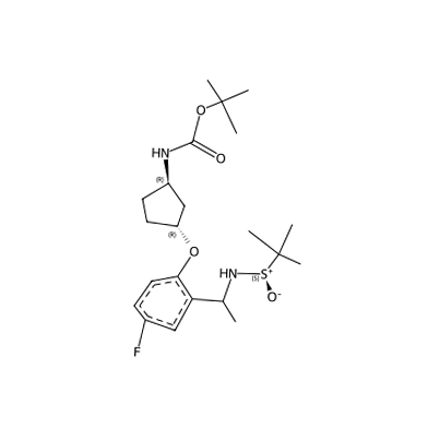 CC(N[S@+]([O-])C(C)(C)C)c1cc(F)ccc1O[C@@H]1CC[C@@H](NC(=O)OC(C)(C)C)C1